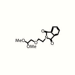 COC(COCCN1C(=O)c2ccccc2C1=O)OC